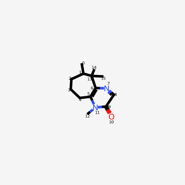 CC1CCCc2c(ncc(=O)n2C)C1(C)C